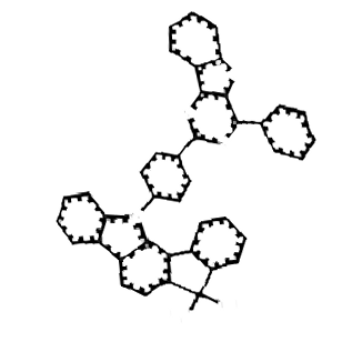 CC1(C)c2ccccc2-c2c1ccc1c3ccccc3n(-c3ccc(-c4nc(-c5ccccc5)c5oc6ccccc6c5n4)cc3)c21